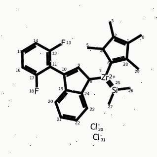 CC1=C(C)C(C)[C]([Zr+2]([CH]2C=C(c3c(F)cccc3F)c3ccccc32)=[Si](C)C)=C1C.[Cl-].[Cl-]